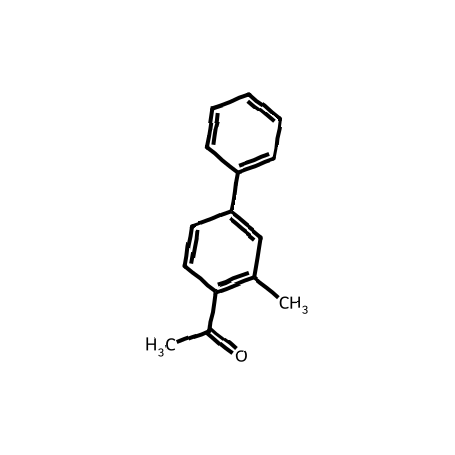 CC(=O)c1ccc(-c2ccccc2)cc1C